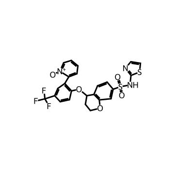 O=S(=O)(Nc1nccs1)c1ccc2c(c1)OCCC2Oc1ccc(C(F)(F)F)cc1-c1cccc[n+]1[O-]